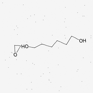 C1CO1.OCCCCCCO